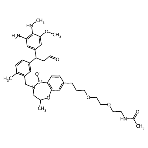 CNc1c(N)cc(C(CC=O)c2ccc(C)c(CN3CC(C)Oc4cc(CCCOCCOCCNC(C)=O)ccc4[S+]3[O-])c2)cc1OC